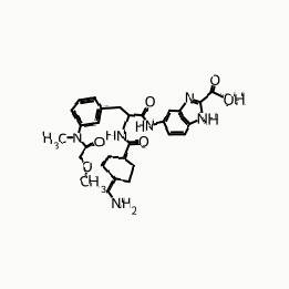 COCC(=O)N(C)c1cccc(CC(NC(=O)C2CCC(CN)CC2)C(=O)Nc2ccc3[nH]c(C(=O)O)nc3c2)c1